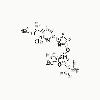 CC(C)(C)OC(=O)c1ccc(-n2ccc(OCCC(O[Si](C)(C)C(C)(C)C)C3(C(F)F)CC3)n2)nc1Cl